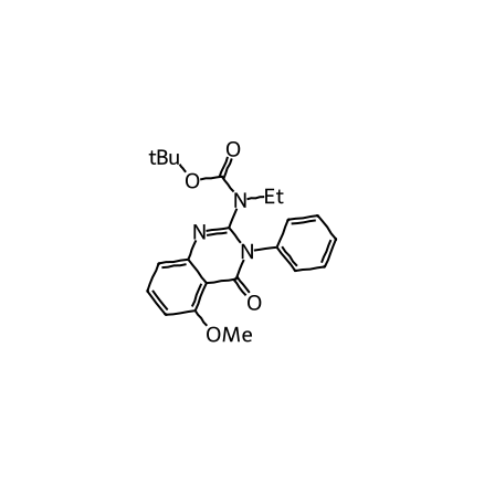 CCN(C(=O)OC(C)(C)C)c1nc2cccc(OC)c2c(=O)n1-c1ccccc1